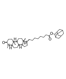 CN1C(=O)CC[C@]2(C)[C@H]3CC[C@]4(C)[C@@H](CCCCCCCC(=O)OC5C6CC7CC(C6)CC5C7)CC[C@H]4[C@@H]3CC[C@@H]12